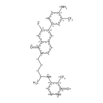 CC(CCCn1ccc2cc(-c3cc(C(F)(F)F)c(N)cn3)c(F)cc2c1=O)Nc1cn[nH]c(=O)c1C(F)(F)F